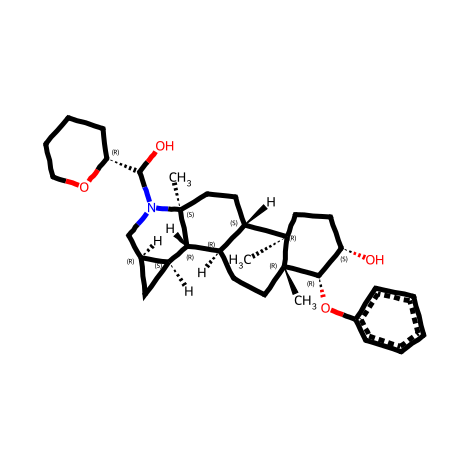 C[C@]12CC[C@H]3[C@@H](CC[C@@]4(C)[C@@H](Oc5ccccc5)[C@@H](O)CC[C@]34C)[C@@H]1[C@H]1C[C@H]1CN2C(O)[C@H]1CCCCO1